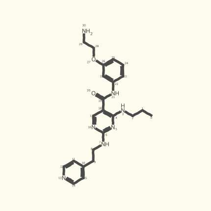 CCCNc1nc(NCCc2ccncc2)ncc1C(=O)Nc1cccc(OCCN)c1